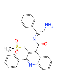 CS(=O)(=O)Cc1c(-c2ccccc2)nc2ccccc2c1C(=O)N[C@@H](CN)c1ccccc1